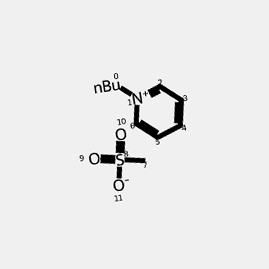 CCCC[n+]1ccccc1.CS(=O)(=O)[O-]